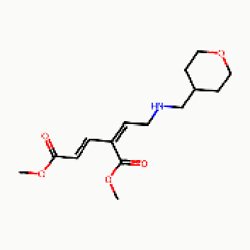 COC(=O)C=CC(=CCNCC1CCOCC1)C(=O)OC